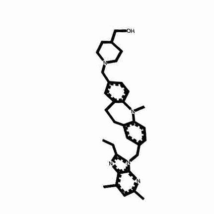 CCc1nc2c(C)cc(C)nc2n1Cc1ccc2c(c1)CCc1cc(CN3CCC(CO)CC3)ccc1N2C